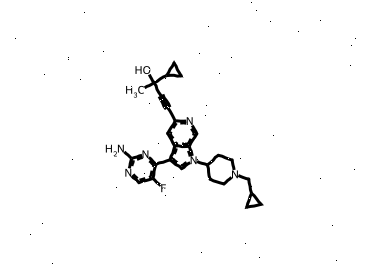 CC(O)(C#Cc1cc2c(-c3nc(N)ncc3F)cn(C3CCN(CC4CC4)CC3)c2cn1)C1CC1